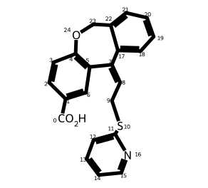 O=C(O)c1ccc2c(c1)C(=CCSc1ccccn1)c1ccccc1CO2